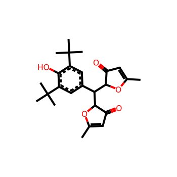 CC1=CC(=O)C(C(c2cc(C(C)(C)C)c(O)c(C(C)(C)C)c2)C2OC(C)=CC2=O)O1